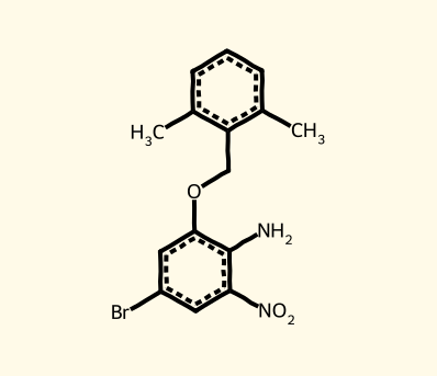 Cc1cccc(C)c1COc1cc(Br)cc([N+](=O)[O-])c1N